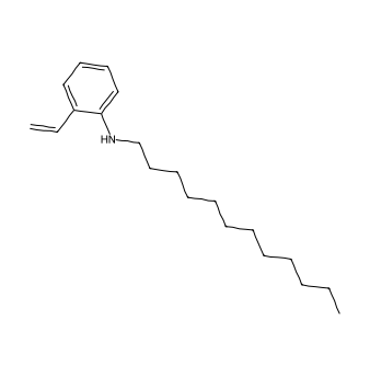 C=Cc1ccccc1NCCCCCCCCCCCC